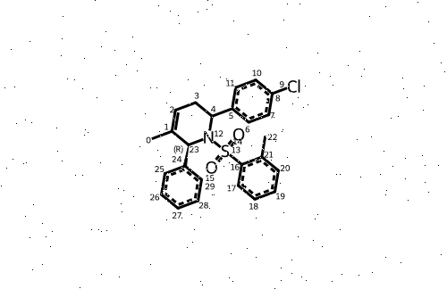 CC1=CCC(c2ccc(Cl)cc2)N(S(=O)(=O)c2ccccc2C)[C@H]1c1ccccc1